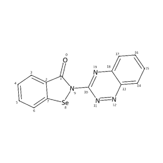 O=c1c2ccccc2[se]n1-c1nnc2ccccc2n1